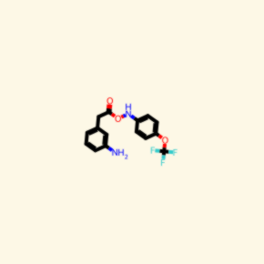 Nc1cccc(CC(=O)ONc2ccc(OC(F)(F)F)cc2)c1